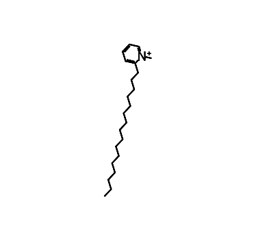 CCCCCCCCCCCCCCCCc1cccc[n+]1C